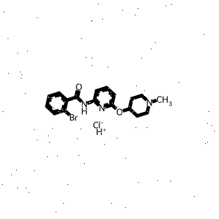 CN1CCC(Oc2cccc(NC(=O)c3ccccc3Br)n2)CC1.[Cl-].[H+]